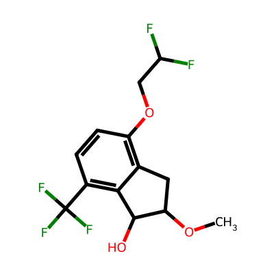 COC1Cc2c(OCC(F)F)ccc(C(F)(F)F)c2C1O